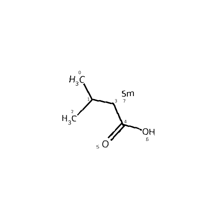 CC(C)CC(=O)O.[Sm]